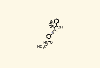 CN1C(C(=O)/C=C/c2cccc(C(=O)NCC(=O)O)c2)=C(O)c2ccccc2S1(=O)=O